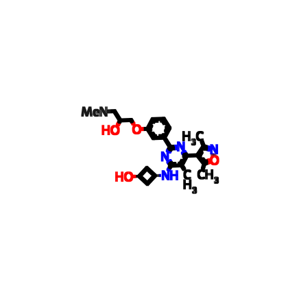 CNCC(O)COc1cccc(-c2nc(N[C@H]3C[C@H](O)C3)c(C)c(-c3c(C)noc3C)n2)c1